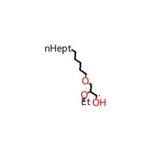 CCCCCCCCCCCCOCC([CH]O)OCC